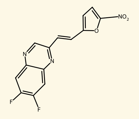 O=[N+]([O-])c1ccc(C=Cc2cnc3cc(F)c(F)cc3n2)o1